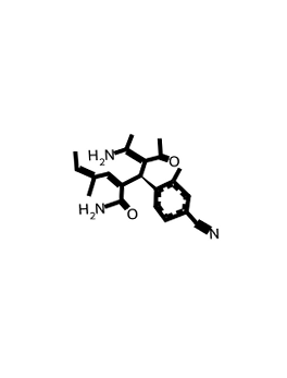 C/C=C(C)\C=C(/C(N)=O)[C@@H](/C(C(C)=O)=C(/C)N)c1ccc(C#N)cc1C